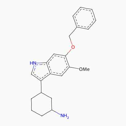 COc1cc2c(C3CCCC(N)C3)c[nH]c2cc1OCc1ccccc1